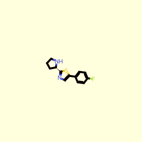 Fc1ccc(-c2[c]nc([C@@H]3CCCN3)s2)cc1